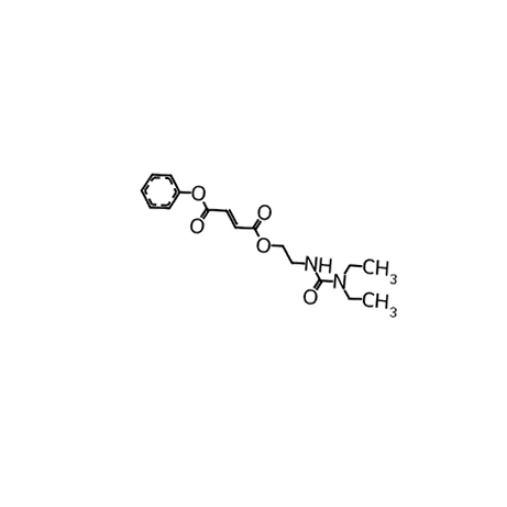 CCN(CC)C(=O)NCCOC(=O)/C=C/C(=O)Oc1ccccc1